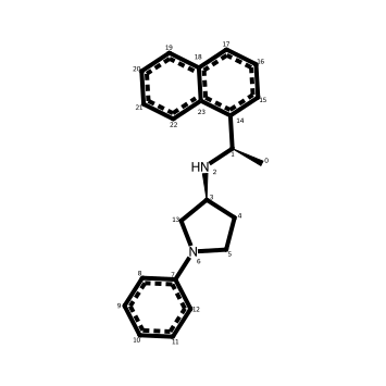 C[C@@H](N[C@H]1CCN(c2ccccc2)C1)c1cccc2ccccc12